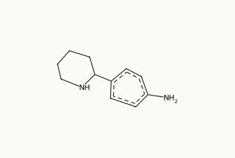 Nc1ccc(C2CCCCN2)cc1